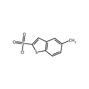 Cc1ccc2sc(S(=O)(=O)Cl)cc2c1